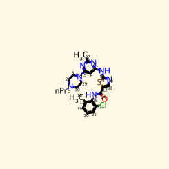 CCCN1CCN(c2cc(Nc3ncc(C(=O)Nc4c(C)cccc4Cl)s3)nc(C)n2)CC1